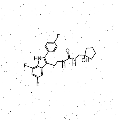 O=C(NCCc1c(-c2ccc(F)cc2)[nH]c2c(F)cc(F)cc12)NCC1(O)CCCC1